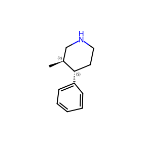 C[C@H]1CNCC[C@@H]1c1ccccc1